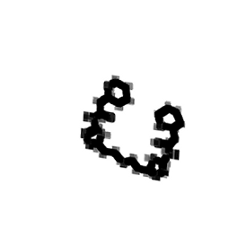 O=C(CC1CCCCO1)Nc1nnc(CCSCCc2nnc(NC(=O)CC3CCCCO3)s2)s1